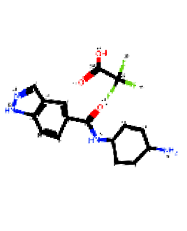 NC1CCC(NC(=O)c2ccc3[nH]ncc3c2)CC1.O=C(O)C(F)(F)F